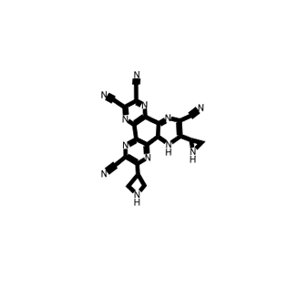 N#CC1=C(C2CN2)NC2C(=N1)c1nc(C#N)c(C#N)nc1-c1nc(C#N)c(C3CNC3)nc12